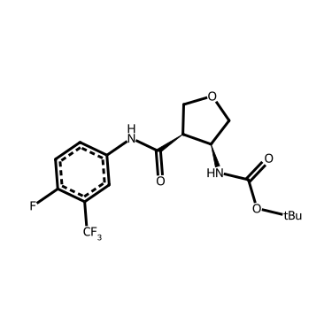 CC(C)(C)OC(=O)N[C@@H]1COC[C@@H]1C(=O)Nc1ccc(F)c(C(F)(F)F)c1